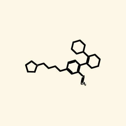 C=Nc1cc(CCCCN2CCCC2)ccc1C1=C(C2CCCCC2)CCCC1